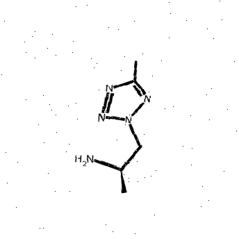 Cc1nnn(C[C@@H](C)N)n1